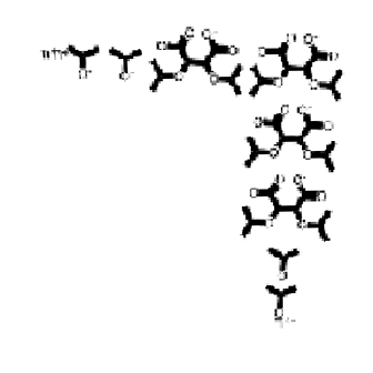 CC(C)OC(C(=O)[O-])C(OC(C)C)C(=O)[O-].CC(C)OC(C(=O)[O-])C(OC(C)C)C(=O)[O-].CC(C)OC(C(=O)[O-])C(OC(C)C)C(=O)[O-].CC(C)OC(C(=O)[O-])C(OC(C)C)C(=O)[O-].CC(C)[O-].CC(C)[O-].CC(C)[O-].CC(C)[O-].[Ti+4].[Ti+4].[Ti+4]